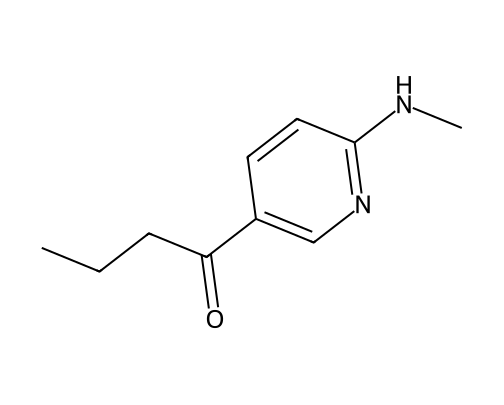 CCCC(=O)c1ccc(NC)nc1